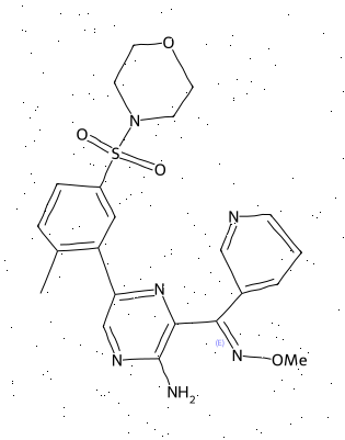 CO/N=C(\c1cccnc1)c1nc(-c2cc(S(=O)(=O)N3CCOCC3)ccc2C)cnc1N